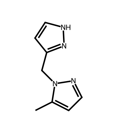 Cc1ccnn1Cc1cc[nH]n1